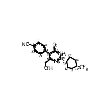 N#Cc1ccc(-c2c(CO)nc([C@H]3CC[C@@H](C(F)(F)F)CC3)[nH]c2=O)cc1